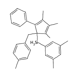 CC1=C(C)C(Cc2ccc(C)cc2)([SiH2]c2cc(C)cc(C)c2)C(c2ccccc2)=C1C